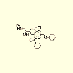 CC(C)NCC(O)c1ccc(OC(=O)COc2ccccc2)c(OC(=O)C2CCCCC2)c1.Cl